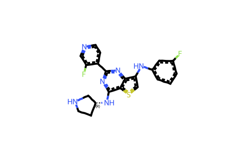 Fc1cccc(Nc2csc3c(N[C@@H]4CCNC4)nc(-c4ccncc4F)nc23)c1